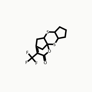 O=C1OC23CC(=C1C(F)(F)F)CC2SC1CCCC1S3